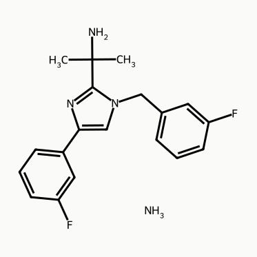 CC(C)(N)c1nc(-c2cccc(F)c2)cn1Cc1cccc(F)c1.N